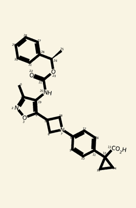 Cc1noc(C2CN(c3ccc(C4(C(=O)O)CC4)cc3)C2)c1NC(=O)O[C@H](C)c1ccccc1